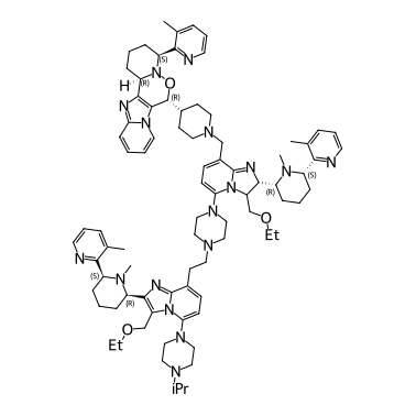 CCOCc1c([C@H]2CCC[C@@H](c3ncccc3C)N2C)nc2c(CCN3CCN(C4=CC=C(CN5CCC([C@H]6ON7[C@H](CCC[C@H]7c7ncccc7C)c7nc8ccccn8c76)CC5)C5=NC([C@H]6CCC[C@@H](c7ncccc7C)N6C)C(COCC)N45)CC3)ccc(N3CCN(C(C)C)CC3)n12